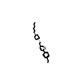 CCCCCC[C@H]1CC[C@H](CCc2ccc(-c3ccc(CC)cc3)nc2)CC1